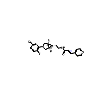 O=C(/C=C/c1ccncc1)NCC[C@@H]1[C@H]2CN(c3nc(Cl)ncc3F)C[C@@H]12